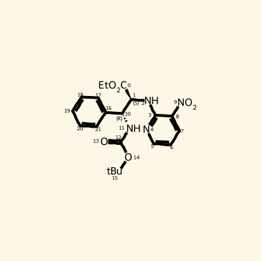 CCOC(=O)[C@@H](Nc1ncccc1[N+](=O)[O-])[C@H](NC(=O)OC(C)(C)C)c1ccccc1